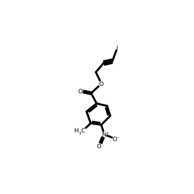 Cc1cc(C(=O)OCC#CI)ccc1[N+](=O)[O-]